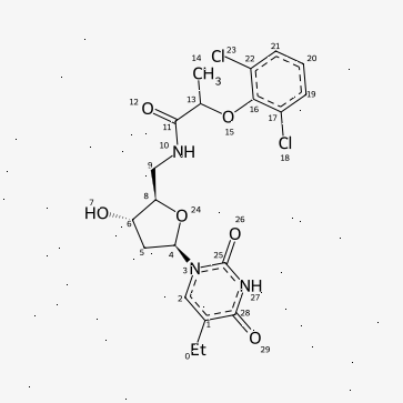 CCc1cn([C@H]2C[C@H](O)[C@@H](CNC(=O)C(C)Oc3c(Cl)cccc3Cl)O2)c(=O)[nH]c1=O